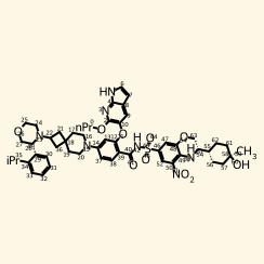 CCCOc1nc2[nH]ccc2cc1Oc1cc(N2CCC3(CC2)CC(N2CCOC[C@H]2c2ccccc2C(C)C)C3)ccc1C(=O)NS(=O)(=O)c1cc2c(c([N+](=O)[O-])c1)N[C@@H]([C@H]1CC[C@](C)(O)CC1)CO2